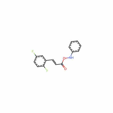 O=C(C=Cc1cc(F)ccc1F)ONc1ccccc1